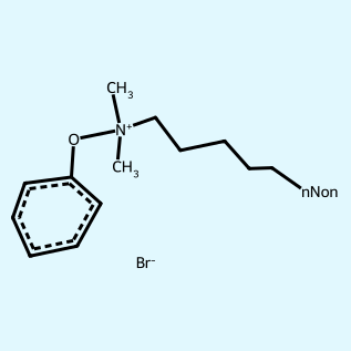 CCCCCCCCCCCCCC[N+](C)(C)Oc1ccccc1.[Br-]